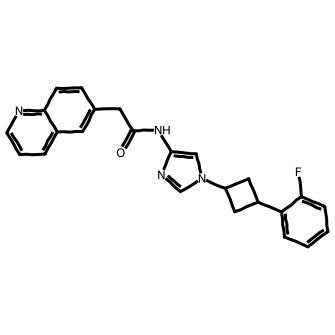 O=C(Cc1ccc2ncccc2c1)Nc1cn(C2CC(c3ccccc3F)C2)cn1